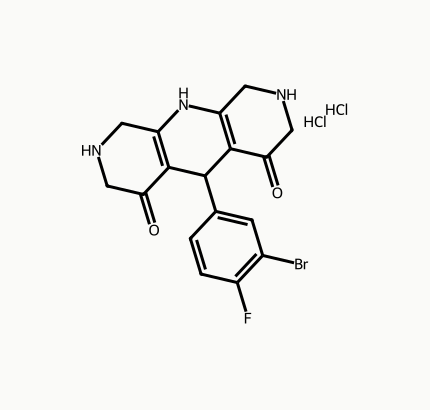 Cl.Cl.O=C1CNCC2=C1C(c1ccc(F)c(Br)c1)C1=C(CNCC1=O)N2